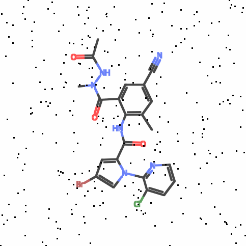 CC(=O)NN(C)C(=O)c1cc(C#N)cc(C)c1NC(=O)c1cc(Br)cn1-c1ncccc1Cl